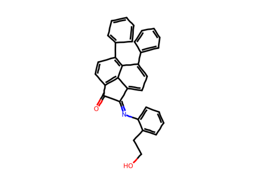 O=C1/C(=N/c2ccccc2CCO)c2ccc(-c3ccccc3)c3c(-c4ccccc4)ccc1c23